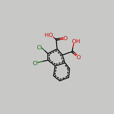 O=C(O)c1c(Cl)c(Cl)c2ccccc2c1C(=O)O